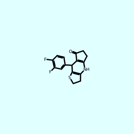 O=C1CCC2=C1C(c1ccc(F)c(F)c1)C1=C(CCS1)N2